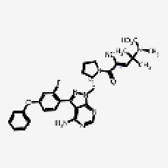 CN(C(=O)O)C(C)(C)/C=C(\C#N)C(=O)N1CCC[C@H]1Cn1nc(-c2ccc(Oc3ccccc3)cc2F)c2c(N)ncnc21